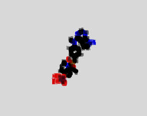 CCC1(CC)C(OP(=O)(O)O)CCCN1S(=O)(=O)CC1CCC(N(C)c2ncnc3[nH]ccc23)CC1